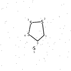 C1CSSS1.[S]